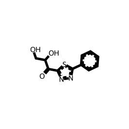 O=C(c1nnc(-c2ccccc2)s1)C(O)CO